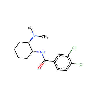 CCN(C)[C@@H]1CCCC[C@H]1NC(=O)c1ccc(Cl)c(Cl)c1